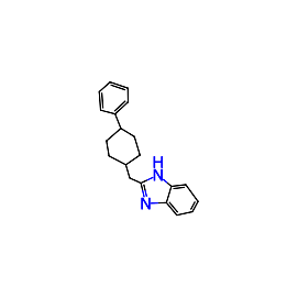 c1ccc(C2CCC(Cc3nc4ccccc4[nH]3)CC2)cc1